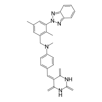 C=C1NC(=C)C(=Cc2ccc(N(C)Cc3cc(C)cc(-n4nc5ccccc5n4)c3C)cc2)C(=C)N1